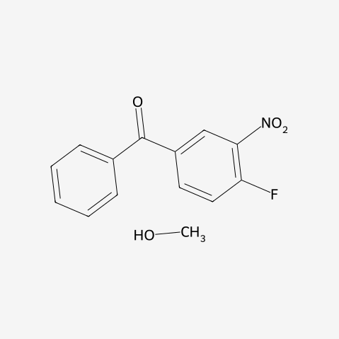 CO.O=C(c1ccccc1)c1ccc(F)c([N+](=O)[O-])c1